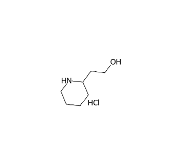 Cl.OCCC1CCCCN1